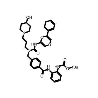 CC(C)(C)OC(=O)Nc1ccccc1NC(=O)c1ccc(CN(CCCN2CCC(O)CC2)C(=O)NC2=COC=C(C3=CC=CCC3)O2)cc1